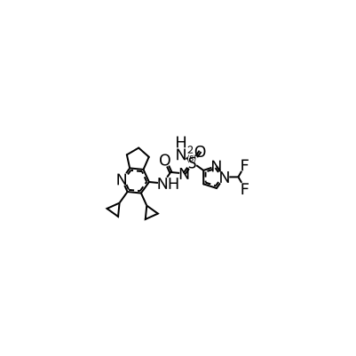 N[S@](=O)(=NC(=O)Nc1c2c(nc(C3CC3)c1C1CC1)CCC2)c1ccn(C(F)F)n1